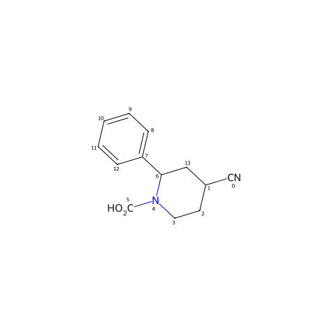 N#CC1CCN(C(=O)O)C(c2ccccc2)C1